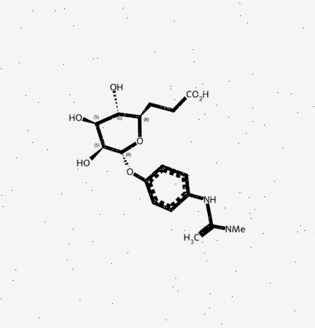 C=C(NC)Nc1ccc(O[C@H]2O[C@H](CCC(=O)O)[C@@H](O)[C@H](O)[C@@H]2O)cc1